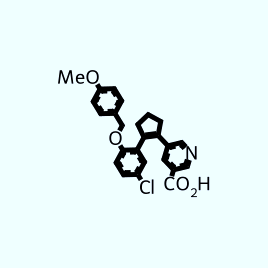 COc1ccc(COc2ccc(Cl)cc2C2=C(c3cncc(C(=O)O)c3)CCC2)cc1